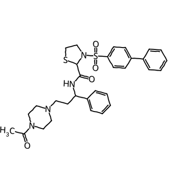 CC(=O)N1CCN(CCC(NC(=O)C2SCCN2S(=O)(=O)c2ccc(-c3ccccc3)cc2)c2ccccc2)CC1